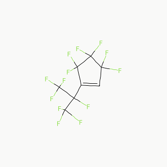 FC(F)(F)C(F)(C1=CC(F)(F)C(F)(F)C1(F)F)C(F)(F)F